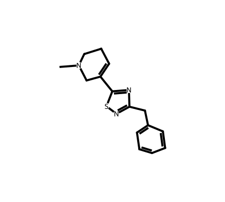 CN1CCC=C(c2nc(Cc3ccccc3)ns2)C1